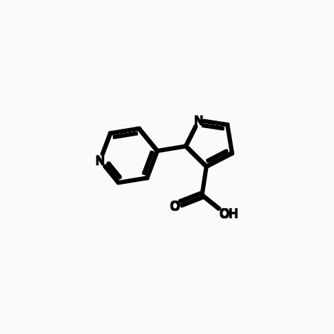 O=C(O)C1=CC=NC1c1ccncc1